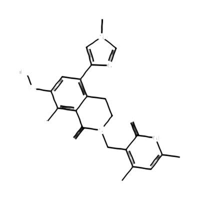 Cc1cc(C)c(CN2CCc3c(-c4cn(C)cn4)cc(OC(C)C)c(Cl)c3C2=O)c(=O)[nH]1